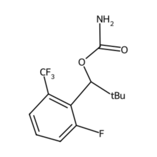 CC(C)(C)C(OC(N)=O)c1c(F)cccc1C(F)(F)F